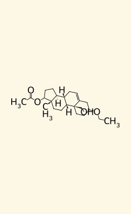 CCOC1CC[C@@]2(CO)C(=CC[C@@H]3[C@H]2CC[C@]2(C)C(OC(C)=O)CC[C@@H]32)C1